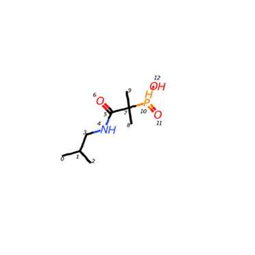 CC(C)CNC(=O)C(C)(C)[PH](=O)O